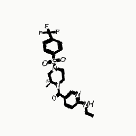 CCNc1ccc(C(=O)N2CCN(S(=O)(=O)c3ccc(C(F)(F)F)cc3)C[C@@H]2C)cn1